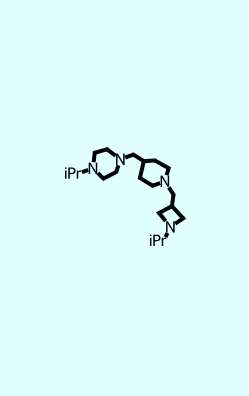 CC(C)N1CCN(CC2CCN(CC3CN(C(C)C)C3)CC2)CC1